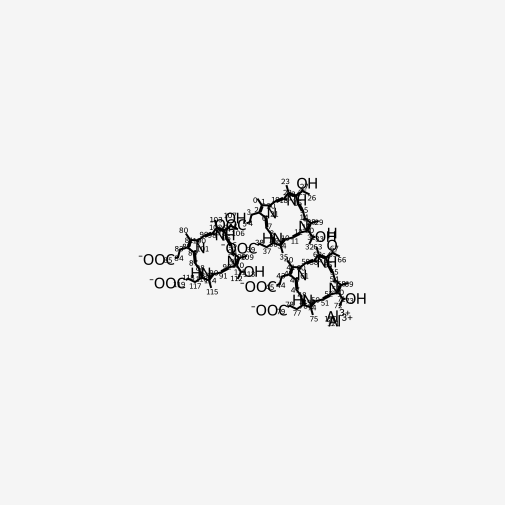 CC1=C(CCC(=O)[O-])c2cc3[nH]c(cc4nc(cc5[nH]c(cc1n2)c(C)c5C(C)O)C(C)=C4C(C)O)c(C)c3CCC(=O)[O-].CC1=C(CCC(=O)[O-])c2cc3[nH]c(cc4nc(cc5[nH]c(cc1n2)c(C)c5C(C)O)C(C)=C4C(C)O)c(C)c3CCC(=O)[O-].CC1=C(CCC(=O)[O-])c2cc3[nH]c(cc4nc(cc5[nH]c(cc1n2)c(C)c5C(C)O)C(C)=C4C(C)O)c(C)c3CCC(=O)[O-].[Al+3].[Al+3]